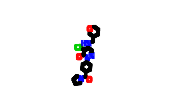 O=C(C1CCC(n2ncc(NCC3CCCOC3)c(Cl)c2=O)CC1)N1CCCC1